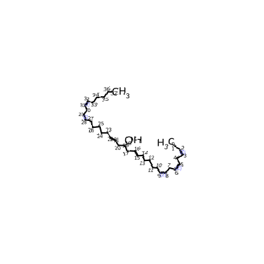 CC/C=C\C/C=C\C/C=C\CCCCCCCCC(O)CCCCCCCC/C=C\C/C=C\CCCCC